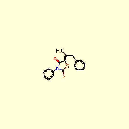 CC(Cc1ccccc1)=C1SC(=S)N(c2ccccc2)C1=O